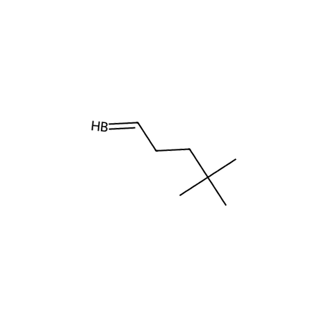 B=CCCC(C)(C)C